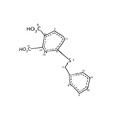 O=C(O)c1ccc(SCc2ccccc2)nc1C(=O)O